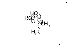 CCCCCC(OC)C1c2cccc(O)c2C(=O)c2c(O)cccc21